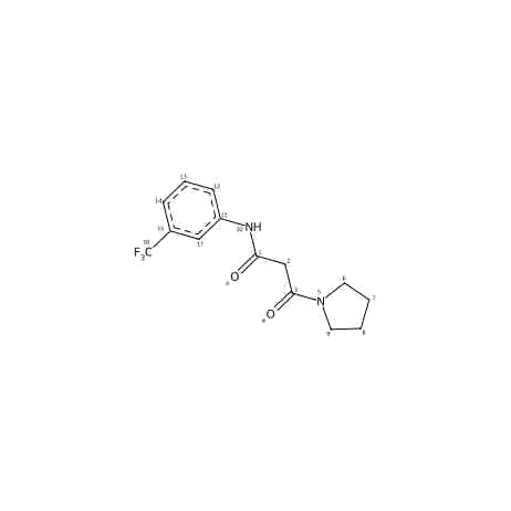 O=C(CC(=O)N1CCCC1)Nc1cccc(C(F)(F)F)c1